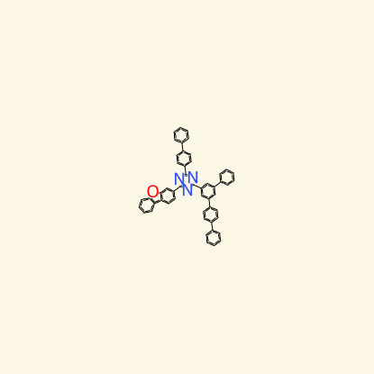 c1ccc(-c2ccc(-c3cc(-c4ccccc4)cc(-c4nc(-c5ccc(-c6ccccc6)cc5)nc(-c5ccc6c(c5)oc5ccccc56)n4)c3)cc2)cc1